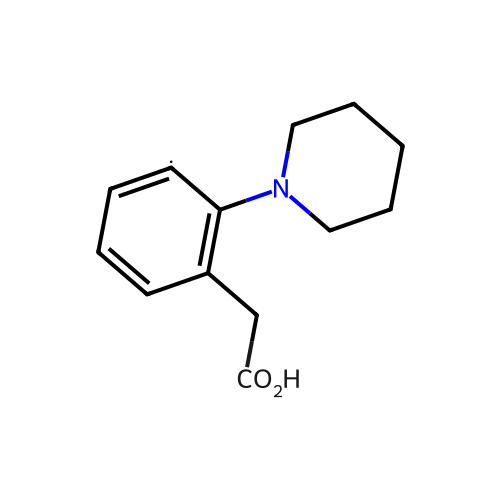 O=C(O)Cc1ccc[c]c1N1CCCCC1